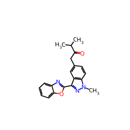 CC(C)C(=O)Cc1ccc2c(c1)c(-c1nc3ccccc3o1)nn2C